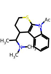 CC(=O)n1c2c(c3ccccc31)C(C(C)N(C)C)CCS2